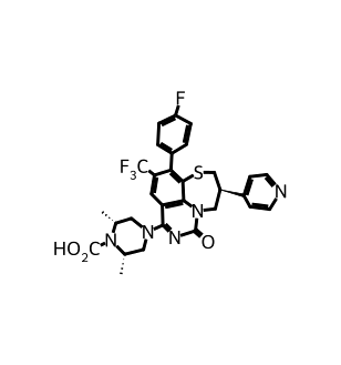 C[C@@H]1CN(c2nc(=O)n3c4c(c(-c5ccc(F)cc5)c(C(F)(F)F)cc24)SC[C@@H](c2ccncc2)C3)C[C@H](C)N1C(=O)O